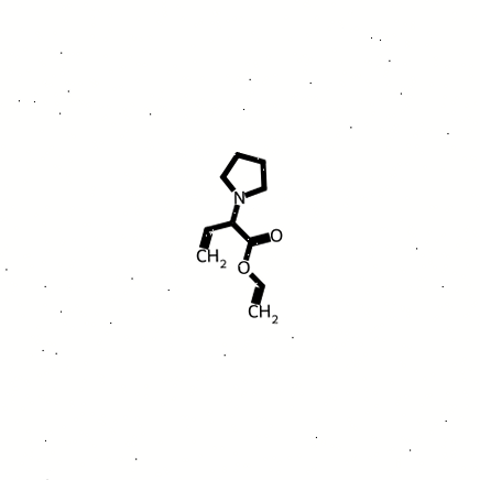 C=COC(=O)C(C=C)N1CCCC1